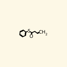 C=CCC(=O)Sc1ccccc1